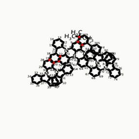 CC(C)(C)c1cc2c3c(c1)N(c1ccccc1-c1ccccc1)c1cc(-c4cccc(-n5c6ccccc6c6ccccc65)c4-n4c5ccccc5c5ccccc54)ccc1B3c1ccc(-c3cccc(-n4c5ccccc5c5ccccc54)c3-n3c4ccccc4c4ccccc43)cc1N2c1ccccc1-c1ccccc1